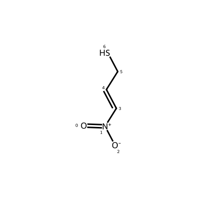 O=[N+]([O-])C=CCS